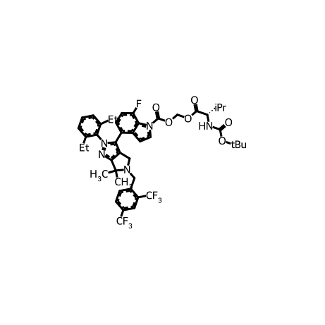 CCc1cccc(CC)c1-n1nc2c(c1-c1ccc(F)c3c1ccn3C(=O)OCOC(=O)[C@@H](NC(=O)OC(C)(C)C)C(C)C)CN(Cc1ccc(C(F)(F)F)cc1C(F)(F)F)C2(C)C